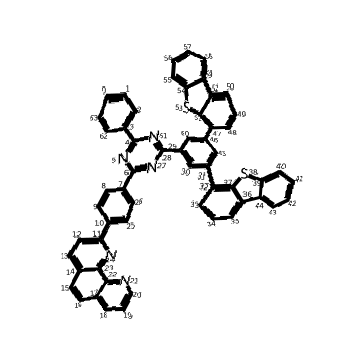 c1ccc(-c2nc(-c3ccc(-c4ccc5ccc6cccnc6c5n4)cc3)nc(-c3cc(-c4cccc5c4sc4ccccc45)cc(-c4cccc5c4sc4ccccc45)c3)n2)cc1